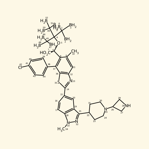 BC(B)(B)C(O[C@H](C(=O)O)c1c(C)cc2nc(-c3ccc4c(c3)c(C3CCN(C5CNC5)CC3)nn4C)sc2c1-c1ccc(Cl)cc1)(C(B)(B)B)C(B)(B)B